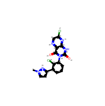 Cn1ccc(-c2cccc(-n3c(=O)[nH]c4nc(Cl)cnc4c3=O)c2Cl)n1